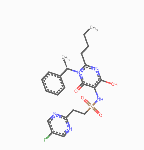 CCCCc1nc(O)c(NS(=O)(=O)CCc2ncc(F)cn2)c(=O)n1[C@H](C)c1ccccc1